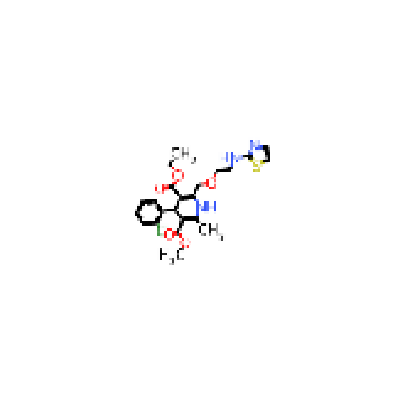 CCOC(=O)C1=C(COCCNc2nccs2)NC(C)=C(C(=O)OC)C1c1ccccc1Cl